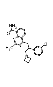 Cc1nc(CC(CN2CCC2)c2cccc(Cl)c2)c2cccc(C(N)=O)c2n1